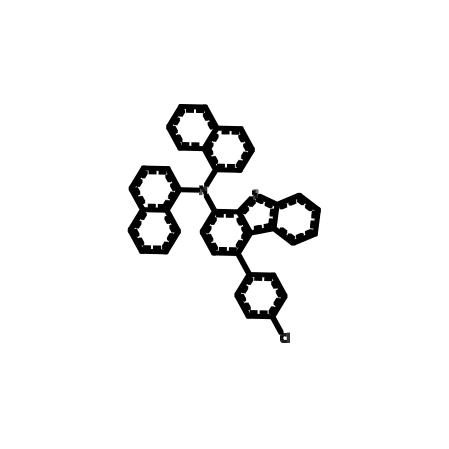 Clc1ccc(-c2ccc(N(c3cccc4ccccc34)c3cccc4ccccc34)c3sc4ccccc4c23)cc1